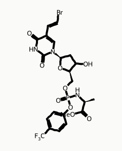 COC(=O)[C@H](C)NP(=O)(OC[C@H]1O[C@@H](n2cc(/C=C/Br)c(=O)[nH]c2=O)CC1O)Oc1ccc(C(F)(F)F)cc1